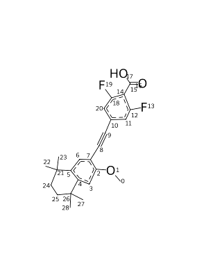 COc1cc2c(cc1C#Cc1cc(F)c(C(=O)O)c(F)c1)C(C)(C)CCC2(C)C